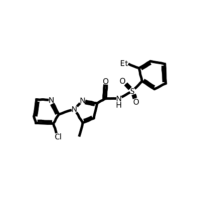 CCc1ccccc1S(=O)(=O)NC(=O)c1cc(C)n(-c2ncccc2Cl)n1